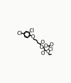 CCOC(=O)C(OC(=O)Cl)OC(=O)CCCOc1ccc(Cl)cc1Cl